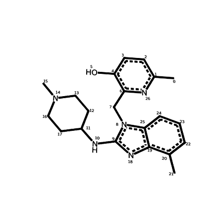 Cc1ccc(O)c(Cn2c(NC3CCN(C)CC3)nc3c(C)cccc32)n1